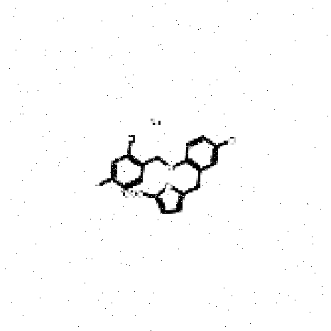 O=C([O-])c1ccc(Cc2cc(Cl)ccc2OCc2ccc(F)cc2Cl)o1.[Na+]